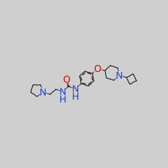 O=C(NCCN1CCCC1)Nc1ccc(OC2CCN(C3CCC3)CC2)cc1